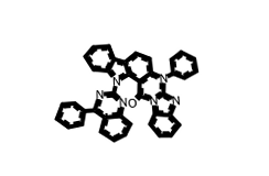 O=c1c2c(ccc3c4ccccc4n(-c4nc(-c5ccccc5)c5ccccc5n4)c32)n(-c2ccccc2)c2nc3ccccc3n12